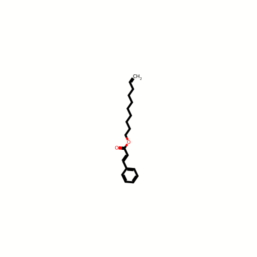 C=CCCCCCCCCOC(=O)/C=C/c1ccccc1